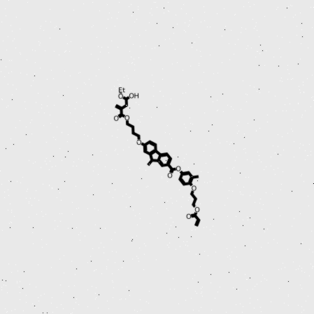 C=CC(=O)OCCCOc1ccc(OC(=O)c2ccc3c(c2)C(C)c2cc(OCCCCOC(=O)C(=C)CC(O)OCC)ccc2-3)cc1C